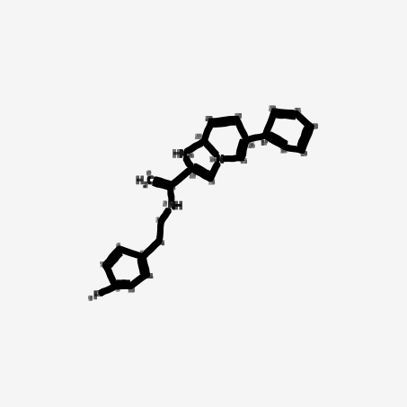 C=C(NCCc1ccc(F)cc1)C1=CN2C=C(c3ccccc3)C=CC2N1